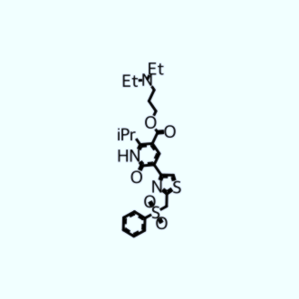 CCN(CC)CCCOC(=O)c1cc(-c2csc(CS(=O)(=O)c3ccccc3)n2)c(=O)[nH]c1C(C)C